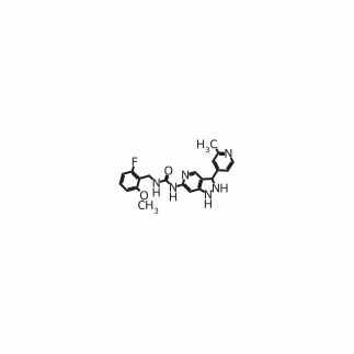 COc1cccc(F)c1CNC(=O)Nc1cc2c(cn1)C(c1ccnc(C)c1)NN2